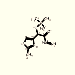 C[Si](C)(C)OC(C(=O)[SH]=N)c1csc(N)n1